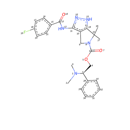 CN(C)[C@@H](COC(=O)N1Cc2c(NC(=O)c3ccc(F)cc3)n[nH]c2C1(C)C)c1ccccc1